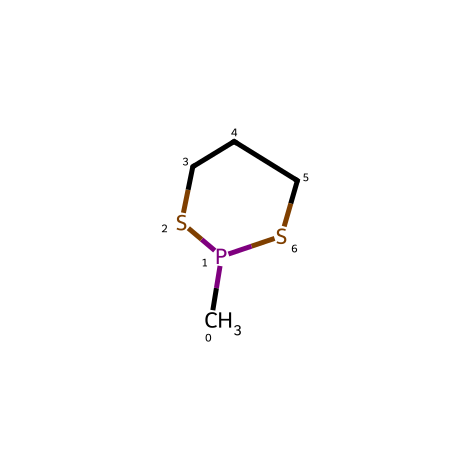 CP1SCCCS1